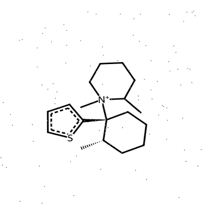 CC1CCCC[N+]1(C)[C@]1(c2cccs2)CCCC[C@@H]1C